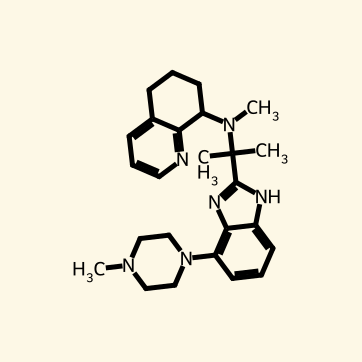 CN1CCN(c2cccc3[nH]c(C(C)(C)N(C)C4CCCc5cccnc54)nc23)CC1